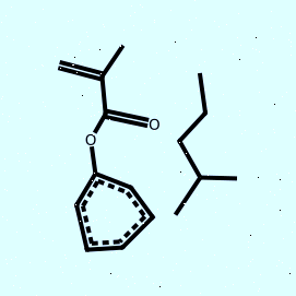 C=C(C)C(=O)Oc1ccccc1.CCCC(C)C